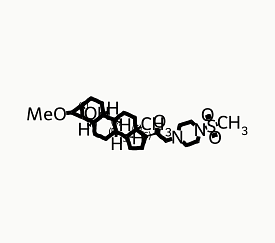 COC1C2[C@@H]3CC[C@@H]4[C@H](CC[C@]5(C)[C@@H](C(=O)CN6CCN(S(C)(=O)=O)CC6)CC[C@@H]45)[C@H]3CC[C@]12O